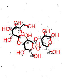 OC[C@H]1O[C@@H](O[C@H]2[C@@H](O)[C@@H](CO)O[C@@H](O[C@H]3[C@@H](O)[C@@H](CO)OC(O)[C@@H]3O)[C@@H]2O)[C@H](O)[C@@H](O)[C@H]1O